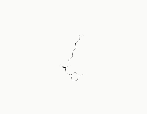 CCCCCCCCCCCCCCCCOC(=O)OC1C[CH]N(CC)C1